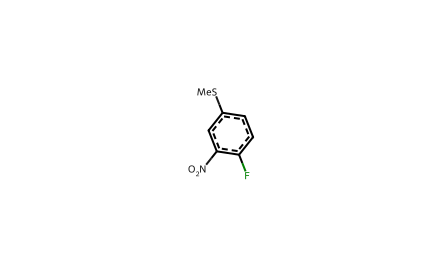 CSc1ccc(F)c([N+](=O)[O-])c1